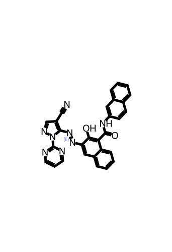 N#Cc1cnn(-c2ncccn2)c1/N=N/c1cc2ccccc2c(C(=O)Nc2ccc3ccccc3c2)c1O